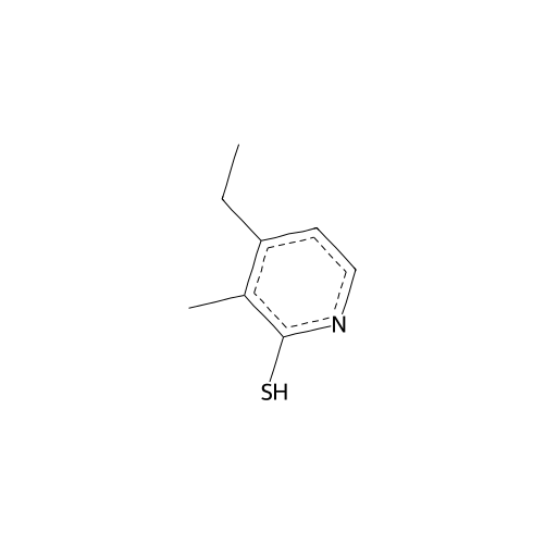 CCc1ccnc(S)c1C